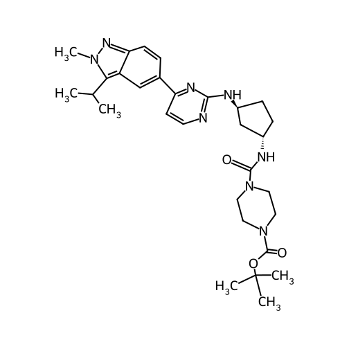 CC(C)c1c2cc(-c3ccnc(N[C@H]4CC[C@H](NC(=O)N5CCN(C(=O)OC(C)(C)C)CC5)C4)n3)ccc2nn1C